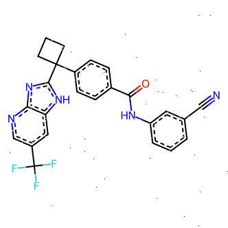 N#Cc1cccc(NC(=O)c2ccc(C3(c4nc5ncc(C(F)(F)F)cc5[nH]4)CCC3)cc2)c1